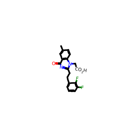 Cc1ccc2c(c1)c(=O)nc(CCc1cccc(F)c1F)n2CC(=O)O